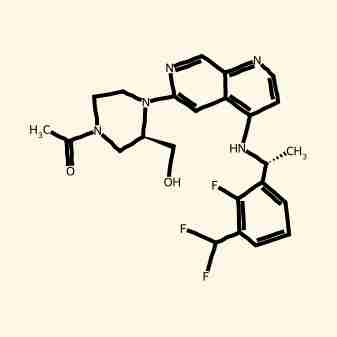 CC(=O)N1CCN(c2cc3c(N[C@H](C)c4cccc(C(F)F)c4F)ccnc3cn2)[C@@H](CO)C1